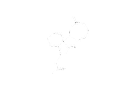 O=C(O)CCC1CCCCC1(C(=O)O)C1CCCCC(=O)O1